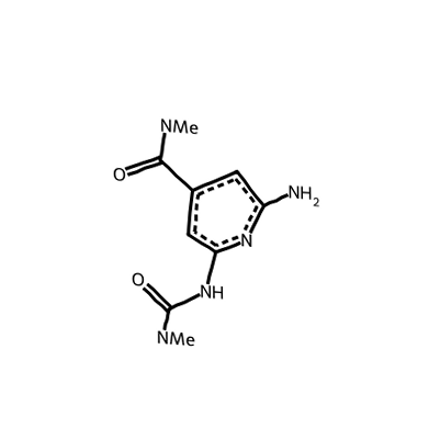 CNC(=O)Nc1cc(C(=O)NC)cc(N)n1